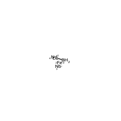 [BH2][Cu].[Fe].[Nb].[Nd]